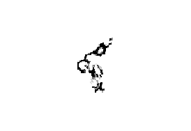 CC(C)(C)OC(=O)N1CCC[C@@H](Cc2ccc(F)cc2)C1